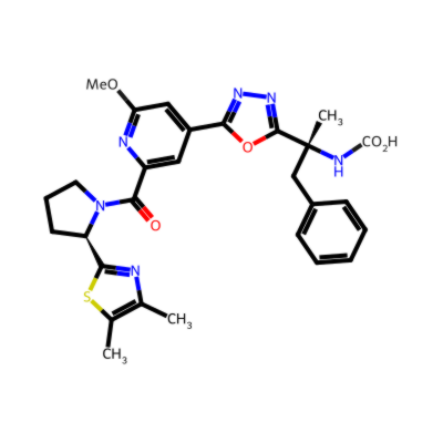 COc1cc(-c2nnc([C@@](C)(Cc3ccccc3)NC(=O)O)o2)cc(C(=O)N2CCC[C@@H]2c2nc(C)c(C)s2)n1